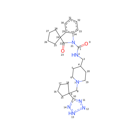 O=C(NCC1CCN(CC2(c3nn[nH]n3)CCCC2)CC1)N1C(=O)C2(CCCC2)c2ccccc21